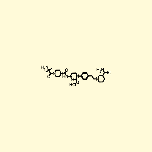 CCC(N)C1CCCN(CCc2ccc(-n3ccc(NC(=O)N4CCN(C(=O)C(C)(C)N)CC4)nc3=O)cc2)C1.Cl